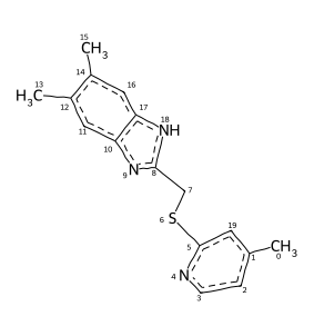 Cc1ccnc(SCc2nc3cc(C)c(C)cc3[nH]2)c1